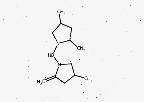 C=C1CC(C)CN1BN1CC(C)CC1C